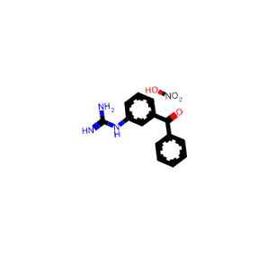 N=C(N)Nc1cccc(C(=O)c2ccccc2)c1.O=[N+]([O-])O